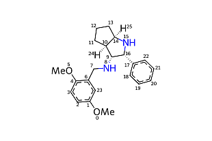 COc1ccc(OC)c(CN[C@@H]2[C@H]3CCC[C@H]3N[C@@H]2c2ccccc2)c1